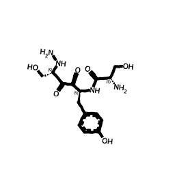 NN[C@@H](CO)C(=O)C(=O)[C@H](Cc1ccc(O)cc1)NC(=O)[C@@H](N)CO